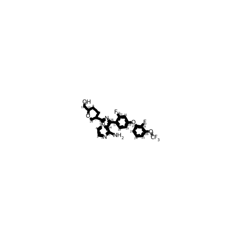 Nc1nccn2c(C3CCC(CO)OC3)nc(-c3ccc(Oc4cccc(OC(F)(F)F)c4F)cc3F)c12